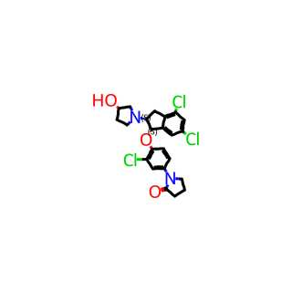 O=C1CCCN1c1ccc(O[C@H]2c3cc(Cl)cc(Cl)c3C[C@@H]2N2CCC(O)C2)c(Cl)c1